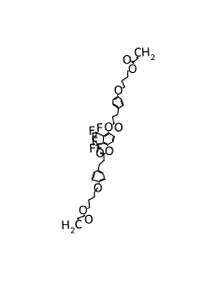 C=CC(=O)OCCCCOc1ccc(CCC(=O)Oc2ccc(OC(=O)CCc3ccc(OCCCCOC(=O)C=C)cc3)c(C(F)(F)F)c2C(F)(F)F)cc1